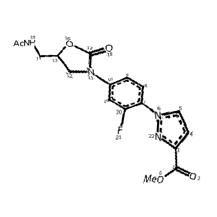 COC(=O)c1ccn(-c2ccc(N3CC(CNC(C)=O)OC3=O)cc2F)n1